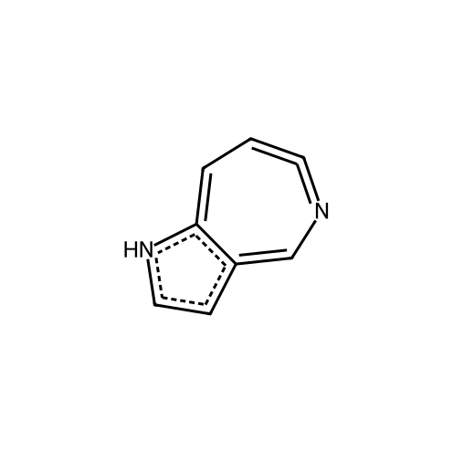 C1=CC=c2[nH]ccc2=CN=1